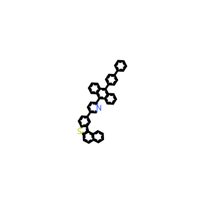 c1ccc(-c2ccc(-c3c4ccccc4c(-c4ccc(-c5ccc6sc7ccc8ccccc8c7c6c5)cn4)c4ccccc34)cc2)cc1